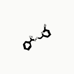 N#C/C(=N\OCc1cccc(Br)n1)c1ccccc1